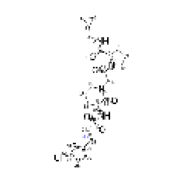 O=C(NCC1CC1)[C@H]1CCCN1C(=O)CN1CCC[C@H](NS(=O)(=O)/C=C/c2ccc(Cl)s2)C1=O